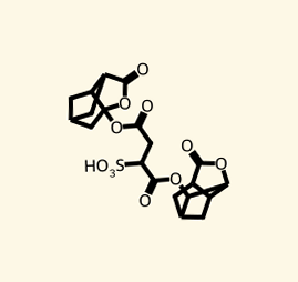 O=C(CC(C(=O)OC1C2CC3C(=O)OC1C3C2)S(=O)(=O)O)OC12CC3CC(C(=O)O1)C2C3